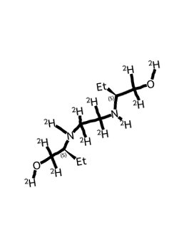 [2H]OC([2H])([2H])[C@H](CC)N([2H])C([2H])([2H])C([2H])([2H])N([2H])[C@@H](CC)C([2H])([2H])O[2H]